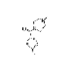 [CH2]c1ccc(C(=O)N2CCN(C)CC2)cc1